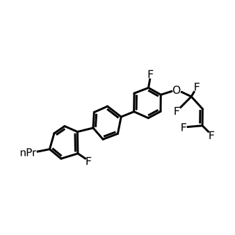 CCCc1ccc(-c2ccc(-c3ccc(OC(F)(F)C=C(F)F)c(F)c3)cc2)c(F)c1